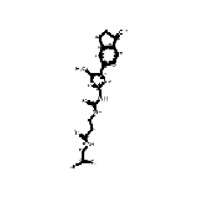 Cc1nc(NC(=O)NCCC(=O)NCC(F)F)sc1-c1ccc2c(c1)CCC2=O